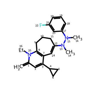 C=C1C=C(C2CC2)C2=C(CCCC(N(C)N(C)c3cccc(F)c3)=C2)N1CC